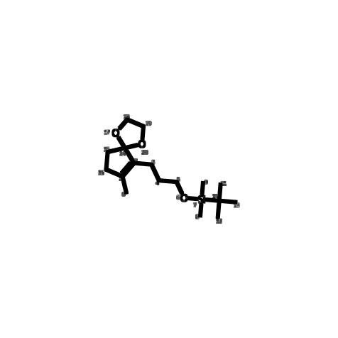 CC1=C(CCCO[Si](C)(C)C(C)(C)C)C2(CC1)OCCO2